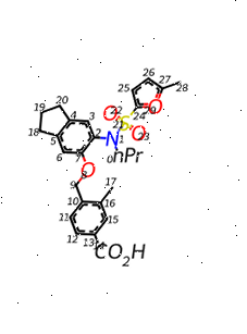 CCCN(c1cc2c(cc1OCc1ccc(C(=O)O)cc1C)CCC2)S(=O)(=O)c1ccc(C)o1